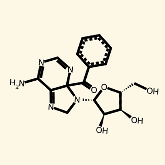 NC1=NC=NC2(C(=O)c3ccccc3)C1=NCN2[C@@H]1O[C@H](CO)[C@@H](O)[C@H]1O